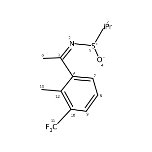 C/C(=N/[S+]([O-])C(C)C)c1cccc(C(F)(F)F)c1C